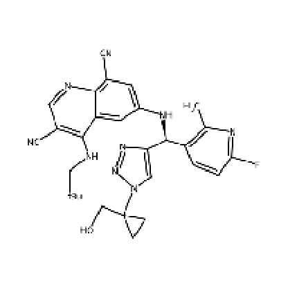 Cc1nc(F)ccc1[C@H](Nc1cc(C#N)c2ncc(C#N)c(NCC(C)(C)C)c2c1)c1cn(C2(CO)CC2)nn1